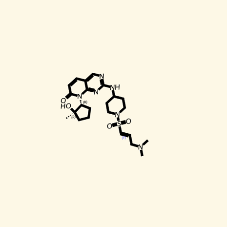 CN(C)C/C=C/S(=O)(=O)N1CCC(Nc2ncc3ccc(=O)n([C@@H]4CCC[C@@]4(C)O)c3n2)CC1